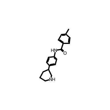 Cc1ccc(C(=O)Nc2ccc(C3CCCNC3)cc2)cc1